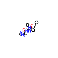 Cc1nn2cccnc2c1C(=O)N[C@H](C)c1nc2cccc(C#CC3CCCCC3)c2c(=O)n1-c1ccccc1